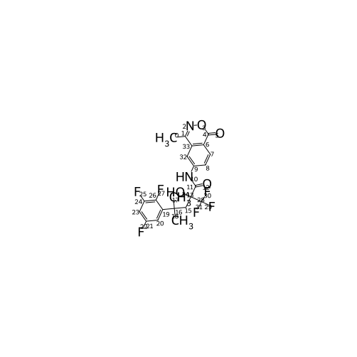 Cc1noc(=O)c2ccc(NC(=O)C(O)(CC(C)(C)c3cc(F)cc(F)c3F)C(F)(F)F)cc12